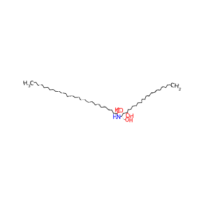 CCCCCCCCCCCCCCCCCCCCCCCCCCCC(=O)N[C@@H](CO)[C@H](O)[C@H](O)CCCCCCCCCCCCCCCCCC